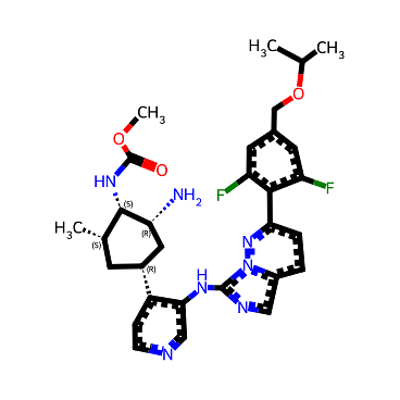 COC(=O)N[C@@H]1[C@H](N)C[C@H](c2ccncc2Nc2ncc3ccc(-c4c(F)cc(COC(C)C)cc4F)nn23)C[C@@H]1C